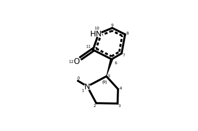 CN1CCC[C@@H]1c1ccc[nH]c1=O